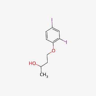 CC(O)CCOc1ccc(I)cc1I